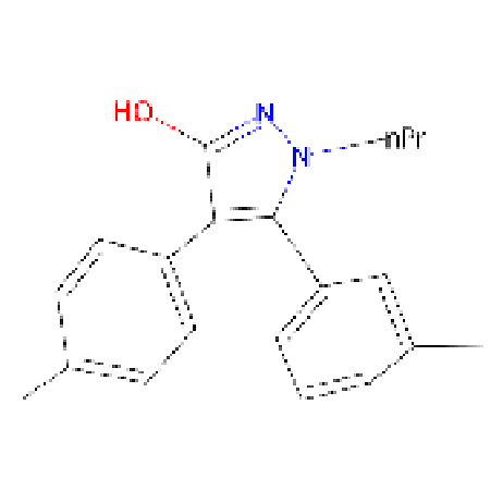 CCCn1nc(O)c(-c2ccc(C)cc2)c1-c1cccc(C)c1